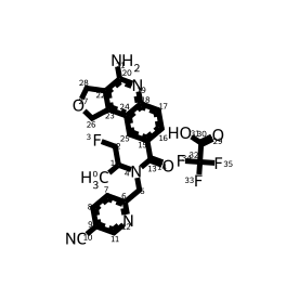 CC(CF)N(Cc1ccc(C#N)cn1)C(=O)c1ccc2nc(N)c3c(c2c1)COC3.O=C(O)C(F)(F)F